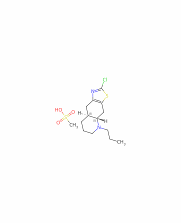 CCCN1CCC[C@H]2Cc3nc(Cl)sc3C[C@@H]21.CS(=O)(=O)O